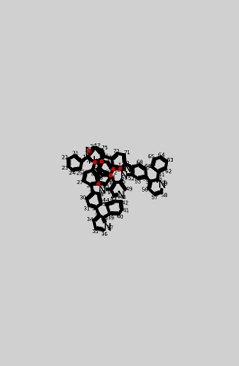 N#Cc1ccccc1-c1c(-n2c3cc(-c4cccnc4-c4ccccc4)ccc3c3ccc(-c4cccnc4-c4ccccc4)cc32)cncc1-n1c2cc(-c3cccnc3-c3ccccc3)ccc2c2ccc(-c3cccnc3-c3ccccc3)cc21